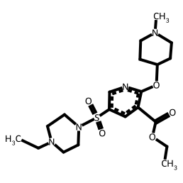 CCOC(=O)c1cc(S(=O)(=O)N2CCN(CC)CC2)cnc1OC1CCN(C)CC1